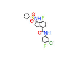 O=C(Nc1ccc(F)c(Cl)c1)c1ccc(F)c2c1CC[C@@H]2NS(=O)(=O)C1CCCC1